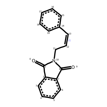 O=C1c2ccccc2C(=O)N1C/C=C\c1ccccc1